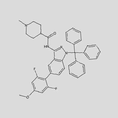 COc1cc(F)c(-c2ccc3c(c2)c(NC(=O)C2CCN(C)CC2)nn3C(c2ccccc2)(c2ccccc2)c2ccccc2)c(F)c1